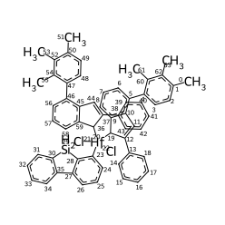 Cc1ccc(-c2cccc3c2C=C(c2ccccc2)[CH]3[Hf]([Cl])([Cl])([c]2cccc3c2[SiH2]c2ccccc2-3)[CH]2C(c3ccccc3)=Cc3c(-c4ccc(C)c(C)c4C)cccc32)c(C)c1C